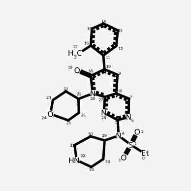 CCS(=O)(=O)N(c1ncc2cc(-c3ccccc3C)c(=O)n(C3CCOCC3)c2n1)C1CCNCC1